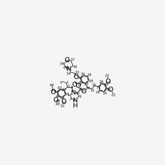 CCC(C(=O)N1CCNCC1C(=O)OC(CCc1ccc(OC)c(OC)c1)c1cccc(OCCN2CCOCC2)c1)c1cc(OC)c(OC)c(OC)c1